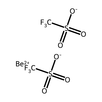 O=S(=O)([O-])C(F)(F)F.O=S(=O)([O-])C(F)(F)F.[Be+2]